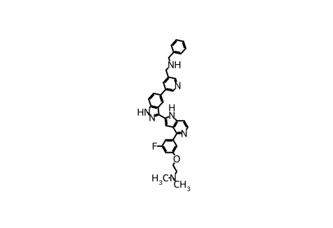 CN(C)CCOc1cc(F)cc(-c2nccc3[nH]c(-c4n[nH]c5ccc(-c6cncc(CNCc7ccccc7)c6)cc45)cc23)c1